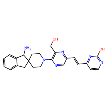 NC1c2ccccc2CC12CCN(c1ncc(C=Cc3ccnc(O)n3)nc1CO)CC2